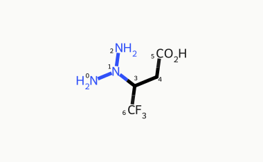 NN(N)C(CC(=O)O)C(F)(F)F